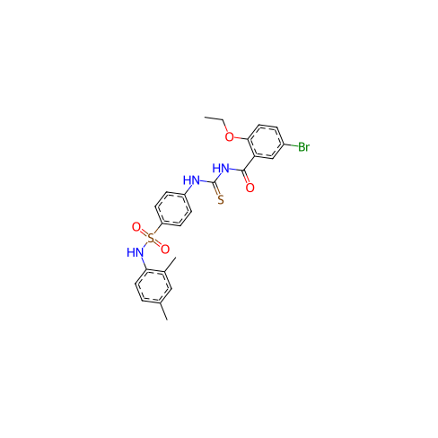 CCOc1ccc(Br)cc1C(=O)NC(=S)Nc1ccc(S(=O)(=O)Nc2ccc(C)cc2C)cc1